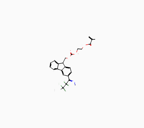 C=C(C)C(=O)OCCOC(=O)OCC1c2ccccc2-c2cc(/C(=N/C)C(F)(F)C(F)(F)C(F)(F)F)ccc21